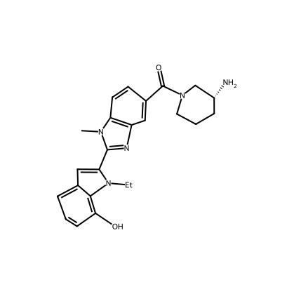 CCn1c(-c2nc3cc(C(=O)N4CCC[C@@H](N)C4)ccc3n2C)cc2cccc(O)c21